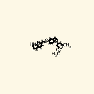 CCCC(CC(=O)OCC)n1ccc2cc(OCCc3ccc4c(n3)NCCC4)ccc21